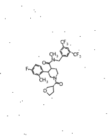 Cc1cc(F)ccc1C1CN(C(=O)C2CCOC2)CCC1C(=O)N(C)Cc1cc(C(F)(F)F)cc(C(F)(F)F)c1